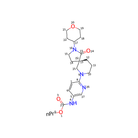 CCCOC(=O)Nc1ccc(N2CCC[C@]3(CCN(C4CCOCC4)C3=O)C2)nc1